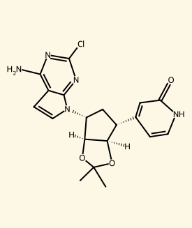 CC1(C)O[C@@H]2[C@H](O1)[C@@H](c1cc[nH]c(=O)c1)C[C@H]2n1ccc2c(N)nc(Cl)nc21